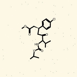 COC(=O)C[C@H](CC(=O)C(NC(=O)OC(C)C)C(C)C)c1ccc(Cl)cc1